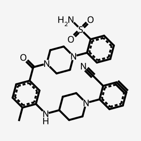 Cc1ccc(C(=O)N2CCN(c3ccccc3S(N)(=O)=O)CC2)cc1NC1CCN(c2ccc#cc2C#N)CC1